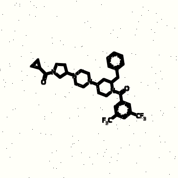 O=C(C1CC1)N1CCC(N2CCN(C3CCN(C(=O)c4cc(C(F)(F)F)cc(C(F)(F)F)c4)C(Cc4ccccc4)C3)CC2)C1